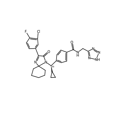 O=C(NCc1nn[nH]n1)c1ccc([C@@H](C2CC2)N2C(=O)C(c3ccc(F)c(Cl)c3)=NC23CCCCC3)cc1